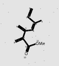 C=CC(C)=CC(=C)C(=C)C(=O)OC